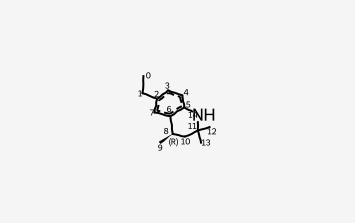 CCc1ccc2c(c1)[C@H](C)CC(C)(C)N2